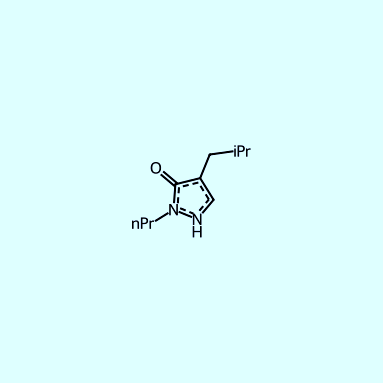 CCCn1[nH]cc(CC(C)C)c1=O